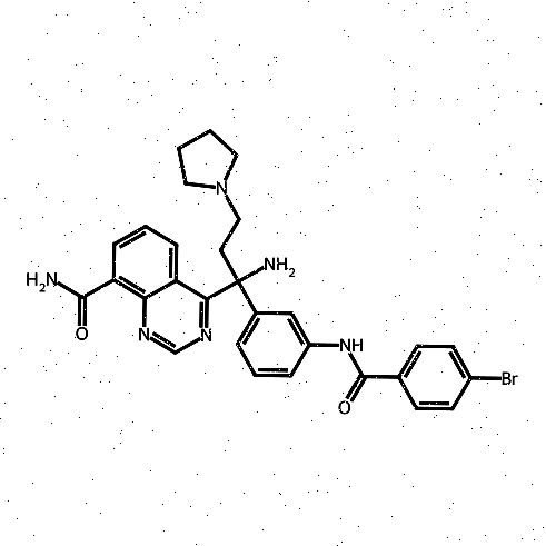 NC(=O)c1cccc2c(C(N)(CCN3CCCC3)c3cccc(NC(=O)c4ccc(Br)cc4)c3)ncnc12